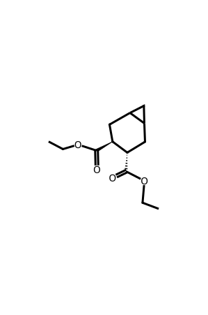 CCOC(=O)[C@H]1CC2CC2C[C@@H]1C(=O)OCC